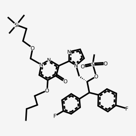 CCCCOc1cn(COCC[Si](C)(C)C)nc(-c2nccn2C[C@H](OS(C)(=O)=O)C(c2ccc(F)cc2)c2ccc(F)cc2)c1=O